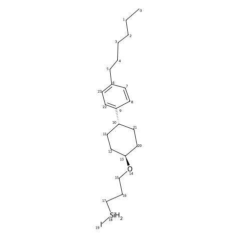 CCCCCCc1ccc([C@H]2CC[C@H](OCCC[SiH2]I)CC2)cc1